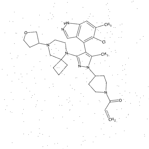 C=CC(=O)N1CCC(n2nc(N3CCN(C4CCOC4)CC34CCC4)c(-c3c(Cl)c(C)cc4[nH]ncc34)c2C)CC1